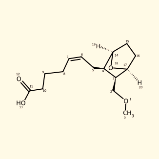 COC[C@H]1[C@@H](C/C=C\CCCC(=O)O)[C@H]2CC[C@@H]1O2